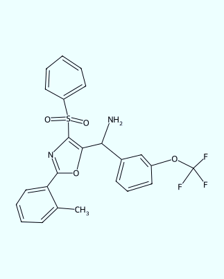 Cc1ccccc1-c1nc(S(=O)(=O)c2ccccc2)c(C(N)c2cccc(OC(F)(F)F)c2)o1